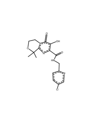 CC1(C)OCCn2c1nc(C(=O)NCc1ccc(Cl)cn1)c(O)c2=O